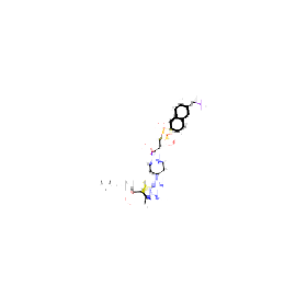 CNC(=O)c1s/c(=N\C2CCN(C(=O)CCS(=O)(=O)c3ccc4cc(CI)ccc4c3)CC2)n(C)c1C